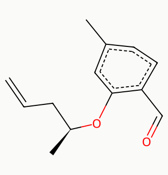 C=CC[C@H](C)Oc1cc(C)ccc1C=O